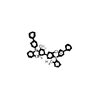 Cc1ccccc1N(c1ccc(-c2ccccc2)cc1)c1ccc(-c2ccc(N(c3ccc(-c4ccccc4)cc3)c3ccccc3C)c(C)c2)cc1C